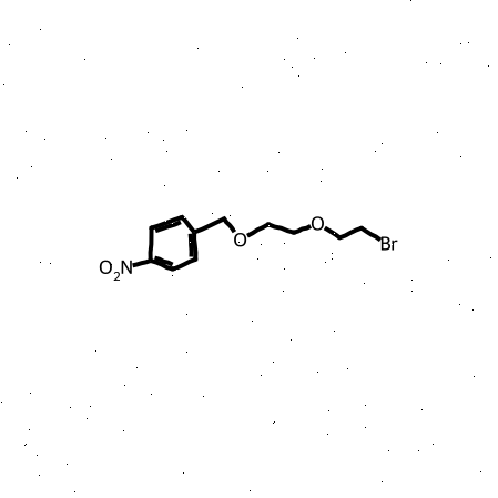 O=[N+]([O-])c1ccc(COCCOCCBr)cc1